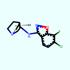 Fc1c(Cl)ccc2c(N[C@H]3CN4CCC3CC4)noc12